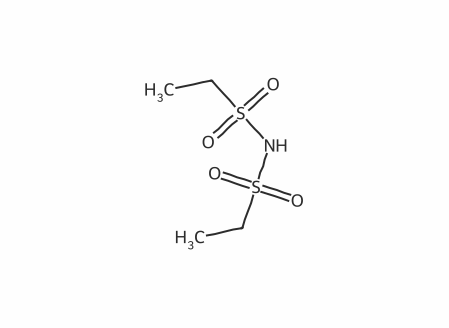 CCS(=O)(=O)NS(=O)(=O)CC